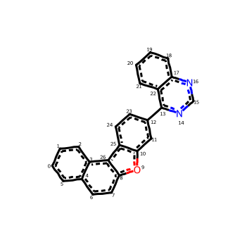 c1ccc2c(c1)ccc1oc3cc(-c4ncnc5ccccc45)ccc3c12